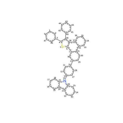 c1ccc(-c2sc3c4cc(-c5ccc(-n6c7ccccc7c7ccccc76)cc5)ccc4c4ccccc4c3c2-c2ccccc2)cc1